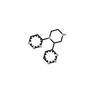 c1cc(C2CNCCN2c2ccnnn2)nnn1